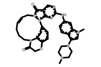 CN1CCN(c2cn(C)c3cc(Nc4ncc5c(=O)n6n(c5n4)-c4ccc5c(c4)N(CCC/C=C\C6)C(=O)CO5)ccc23)CC1